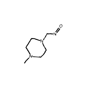 CN1CCN(CN=O)CC1